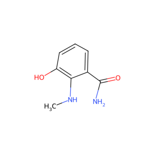 CNc1c(O)cccc1C(N)=O